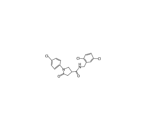 O=C(NCc1cc(Cl)ccc1Cl)C1CC(=O)N(c2ccc(Cl)cc2)C1